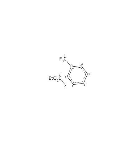 CCOC(C)=O.FC(F)(F)c1ccccc1